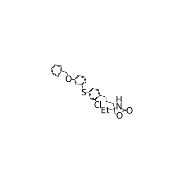 CCC1(CCCc2ccc(Sc3cccc(OCc4ccccc4)c3)cc2Cl)COC(=O)N1